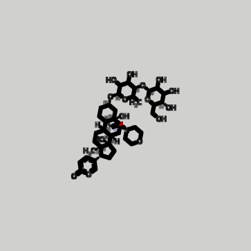 CC1O[C@@H](O[C@H]2CC[C@]3(/C=N/N4CCOCC4)[C@H]4CC[C@]5(C)[C@@H](c6ccc(=O)oc6)CC[C@]5(O)[C@@H]4CC[C@]3(O)C2)C(O)C(O)[C@H]1O[C@@H]1OC(CO)[C@@H](O)C(O)C1O